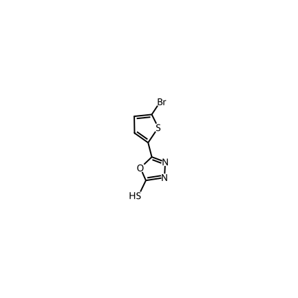 Sc1nnc(-c2ccc(Br)s2)o1